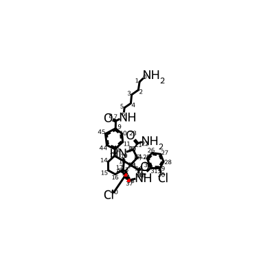 NCCCCCNC(=O)c1ccc(C2CCCCC23N[C@@H](C(N)=O)[C@H](c2cccc(Cl)c2F)[C@]32C(=O)Nc3cc(Cl)ccc32)cc1